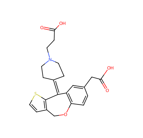 O=C(O)CCN1CCC(=C2c3cc(CC(=O)O)ccc3OCc3ccsc32)CC1